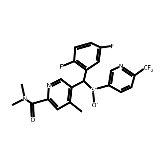 Cc1cc(C(=O)N(C)C)ncc1C(c1cc(F)ccc1F)[S+]([O-])c1ccc(C(F)(F)F)nc1